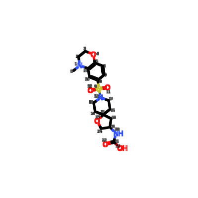 CN1CCOc2ccc(S(=O)(=O)N3CCC4(CC3)C[C@@H](NC(=O)O)CO4)cc21